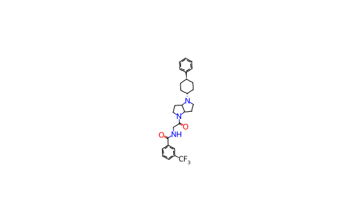 O=C(NCC(=O)N1CCC2C1CCN2[C@H]1CC[C@H](c2ccccc2)CC1)c1cccc(C(F)(F)F)c1